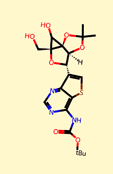 CC(C)(C)OC(=O)Nc1ncnc2c([C@@H]3O[C@]4(CO)C(O)[C@@]45OC(C)(C)O[C@@H]35)csc12